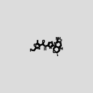 Cc1oc(CF)nc1C(=O)Nc1csc([C@]23CO[C@@H](C)C[C@H]2CSC(N)=N3)n1